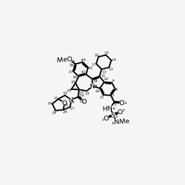 CNS(=O)(=O)NC(=O)c1ccc2c(C3CCCCC3)c3n(c2c1)CC1(C(=O)N2CC4CCC(C2)O4)CC1c1cc(OC)ccc1-3